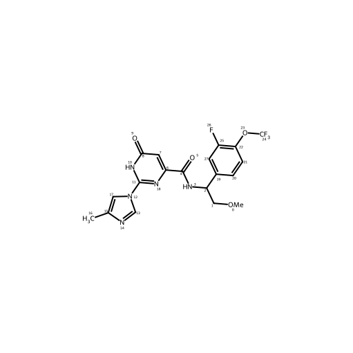 COCC(NC(=O)c1cc(=O)[nH]c(-n2cnc(C)c2)n1)c1ccc(OC(F)(F)F)c(F)c1